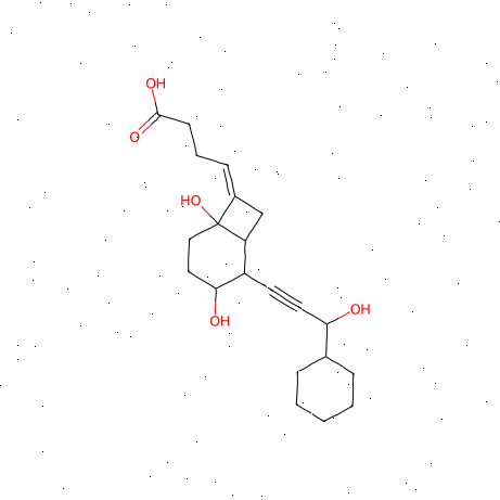 O=C(O)CC/C=C1/CC2C(C#CC(O)C3CCCCC3)C(O)CCC12O